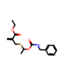 C=C(CSC(C)OC(=O)NCc1ccccc1)C(=O)OCC